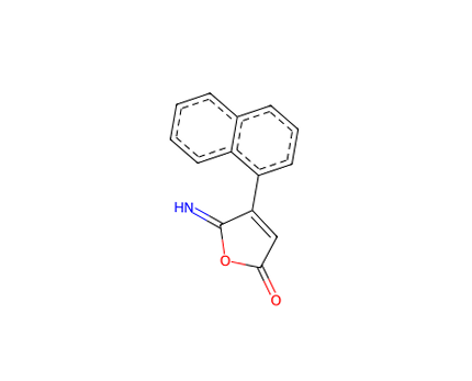 N=C1OC(=O)C=C1c1cccc2ccccc12